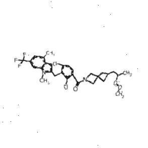 COOC(C)CC1CC2(C1)CN(C(=O)c1ccc(Cl)c(Cc3cc4c(C)cc(C(F)(F)F)cc4n3C)c1Cl)C2